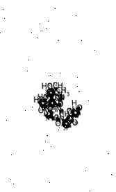 CCNC(=O)c1cc(CC2(C(=O)N3CCC(COC(=O)Nc4cccc5c4CN(C4CCC(=O)NC4=O)C5=O)CC3)CCNCC2)cc(-c2cc(C(C)C)c(O)cc2O)c1-n1cnnc1